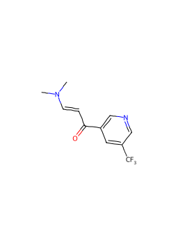 CN(C)C=CC(=O)c1cncc(C(F)(F)F)c1